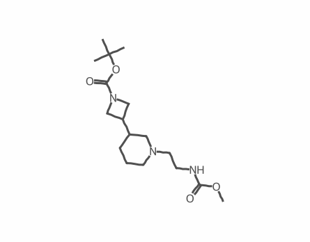 COC(=O)NCCN1CCCC(C2CN(C(=O)OC(C)(C)C)C2)C1